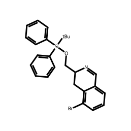 CC(C)(C)[Si](OCC1Cc2c(Br)cccc2C=N1)(c1ccccc1)c1ccccc1